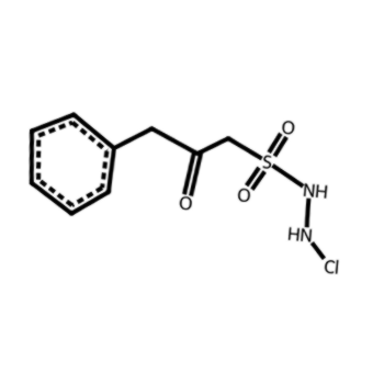 O=C(Cc1ccccc1)CS(=O)(=O)NNCl